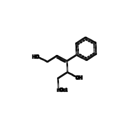 CCCCCCCCCC(O)C(=CCO)c1ccccc1